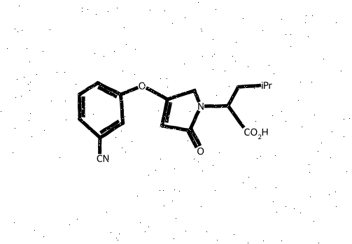 CC(C)CC(C(=O)O)N1CC(Oc2cccc(C#N)c2)=CC1=O